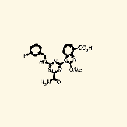 COc1nc2c(C(=O)O)cccc2n1-c1nc(NCc2cccc(F)c2)nc(C(N)=O)n1